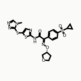 Cn1cnnc1Sc1cnc(NC(=O)/C(=N/O[C@@H]2CCOC2)c2ccc(S(=O)(=O)C3CC3)cc2)s1